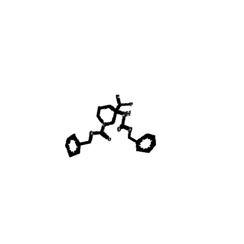 O=C(NC1(C(F)F)CCCN(C(=O)OCc2ccccc2)C1)OCc1ccccc1